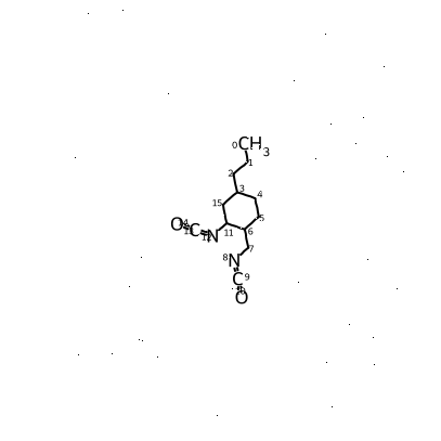 CCCC1CCC(CN=C=O)C(N=C=O)C1